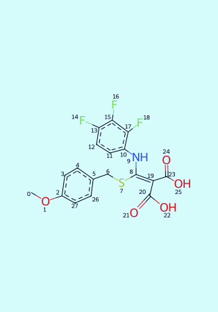 COc1ccc(CSC(Nc2ccc(F)c(F)c2F)=C(C(=O)O)C(=O)O)cc1